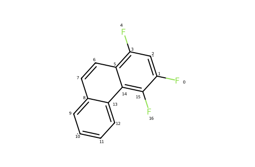 Fc1[c]c(F)c2ccc3c[c]ccc3c2c1F